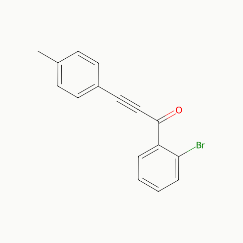 Cc1ccc(C#CC(=O)c2ccccc2Br)cc1